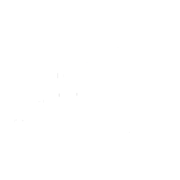 CC/C(=C/C(=O)[O-])C(=O)[O-].CC/C(=C/C(=O)[O-])C(=O)[O-].CCCCCCC[CH2][Sn+4][CH2]CCCCCCC